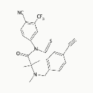 C#Cc1ccc(CN(C)C(C)(C)C(=O)N(C=S)c2ccc(C#N)c(C(F)(F)F)c2)cc1